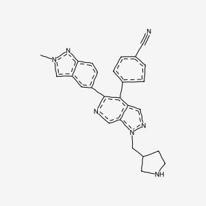 Cn1cc2cc(-c3ncc4c(cnn4CC4CCNC4)c3-c3ccc(C#N)cc3)ccc2n1